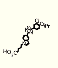 CC(C)Oc1ccc(-c2nc(-c3ccc4c(ccn4CCCCC(=O)O)c3)no2)cc1Cl